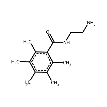 Cc1c(C)c(C)c(C(=O)NCCN)c(C)c1C